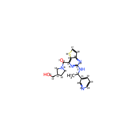 CC(Nc1nc(C(=O)N2CC[C@@H](CO)C2)c2sccc2n1)c1cccnc1